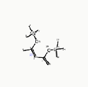 C=C(/C=C(/C)O[Si](C)(C)C)O[Si](C)(C)C